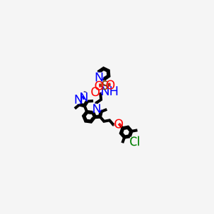 Cc1cc(OCCCc2c(C)n(CCC(=O)NS(=O)(=O)c3ccccn3)c3c(-c4c(C)nn(C)c4C)cccc23)cc(C)c1Cl